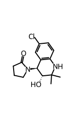 CC1(C)Nc2ccc(Cl)cc2[C@H](N2CCCC2=O)[C@H]1O